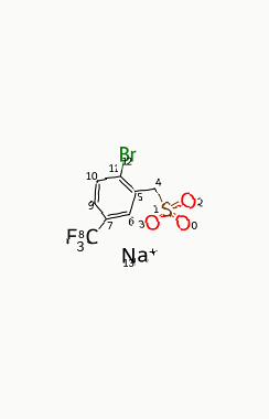 O=S(=O)([O-])Cc1cc(C(F)(F)F)ccc1Br.[Na+]